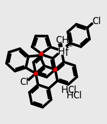 Cl.Cl.[CH2]=[Hf]([C]1=CC=CC1)([c]1ccc(Cl)cc1)([c]1ccc(Cl)cc1)[c]1cccc2c1c1c(c3ccccc32)-c2ccccc2C1